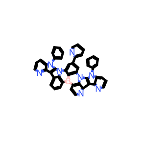 c1ccc(-n2c3cccnc3c3c4cccc5c4n(c32)-c2cc(-c3ccccn3)cc3c2B5c2ccnc4c5c6ncccc6n(-c6ccccc6)c5n-3c24)cc1